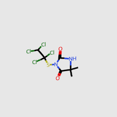 CC1(C)NC(=O)N(SC(Cl)(Cl)C(Cl)Cl)C1=O